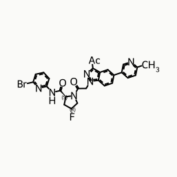 CC(=O)c1nn(CC(=O)N2C[C@H](F)C[C@H]2C(=O)Nc2cccc(Br)n2)c2ccc(-c3ccc(C)nc3)cc12